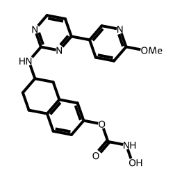 COc1ccc(-c2ccnc(NC3CCc4ccc(OC(=O)NO)cc4C3)n2)cn1